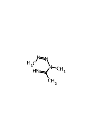 C/N=N\N(C)C(C)=N